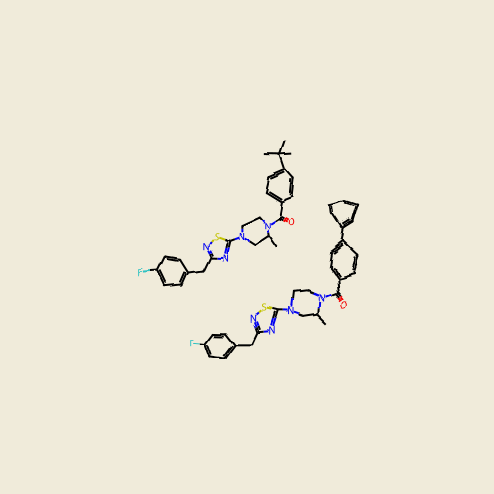 CC1CN(c2nc(Cc3ccc(F)cc3)ns2)CCN1C(=O)c1ccc(-c2ccccc2)cc1.CC1CN(c2nc(Cc3ccc(F)cc3)ns2)CCN1C(=O)c1ccc(C(C)(C)C)cc1